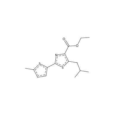 CCOC(=O)c1nc(-c2ccc(C)s2)sc1CC(C)C